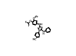 CC(C)Oc1cc(Nc2nc(Nc3ccccc3)n(-c3ccc(C#N)cc3)n2)ccc1OC(F)F